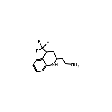 NCCC1CC(C(F)(F)F)c2ccccc2N1